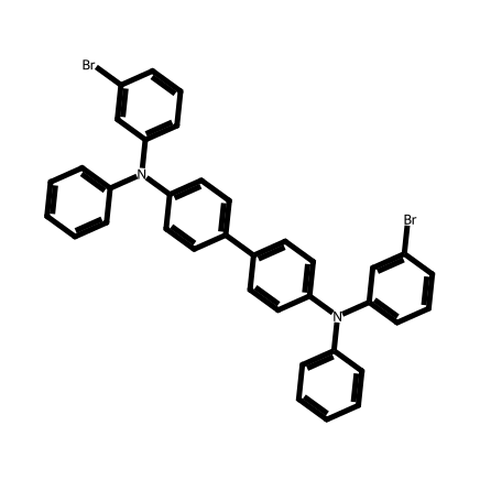 Brc1cccc(N(c2ccccc2)c2ccc(-c3ccc(N(c4ccccc4)c4cccc(Br)c4)cc3)cc2)c1